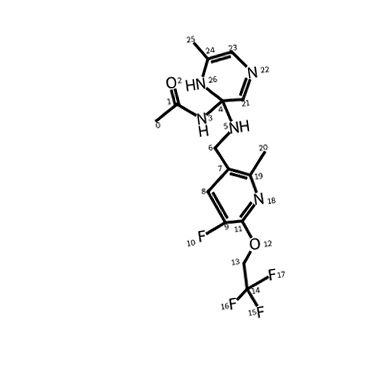 CC(=O)NC1(NCc2cc(F)c(OCC(F)(F)F)nc2C)C=NC=C(C)N1